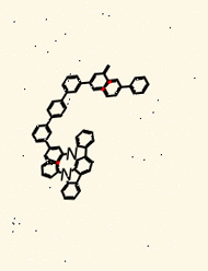 C=C(/C=C(\C=C/C)c1cccc(-c2ccc(-c3cccc(-c4cccc(-n5c6ccccc6c6ccc7c8ccccc8n(-c8ccccc8)c7c65)c4)c3)cc2)c1)c1cccc(-c2ccccc2)c1